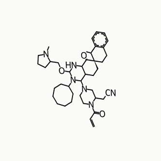 C=CC(=O)N1CCN(C2C3CC[C@@]4(CCc5ccccc5C4C)C(=O)C3NC(OCC3CCCN3C)N2C2CCCCCCC2)CC1CC#N